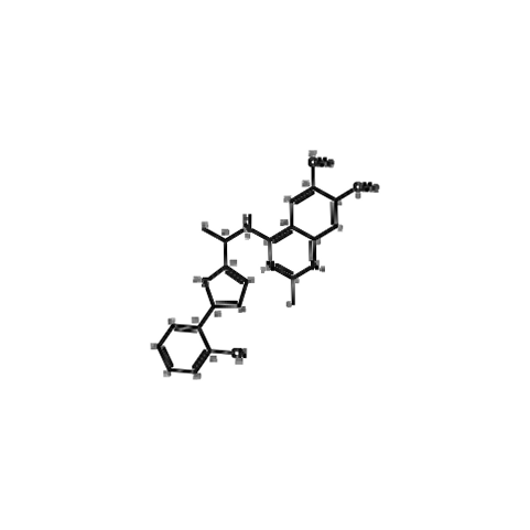 COc1cc2nc(C)nc(NC(C)c3ccc(-c4ccccc4C#N)s3)c2cc1OC